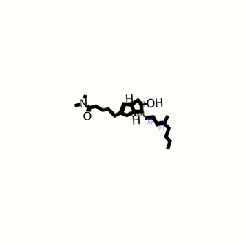 CCCC/C(C)=C/C=C/[C@@H]1[C@H]2CC(CCCCC(=O)N(C)C)=C[C@H]2C[C@H]1O